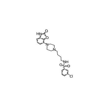 O=c1[nH]c2cccc(N3CCN(CCCCNS(=O)(=O)c4cccc(Cl)c4)CC3)c2o1